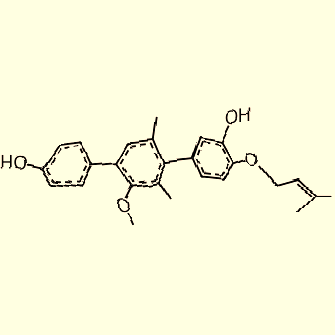 COc1c(-c2ccc(O)cc2)cc(C)c(-c2ccc(OCC=C(C)C)c(O)c2)c1C